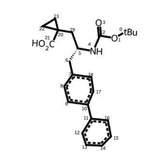 CC(C)(C)OC(=O)N[C@H](Cc1ccc(-c2ccccc2)cc1)CC1(C(=O)O)CC1